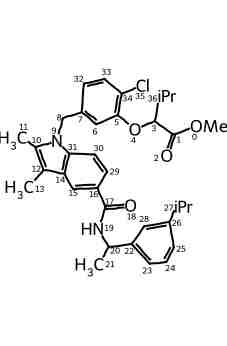 COC(=O)C(Oc1cc(Cn2c(C)c(C)c3cc(C(=O)NC(C)c4cccc(C(C)C)c4)ccc32)ccc1Cl)C(C)C